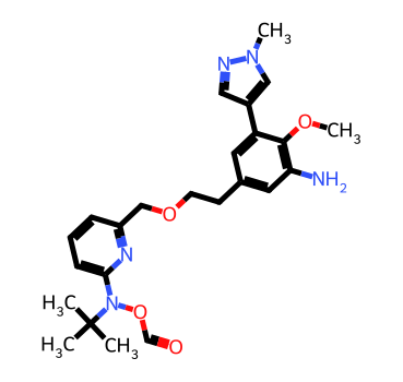 COc1c(N)cc(CCOCc2cccc(N(OC=O)C(C)(C)C)n2)cc1-c1cnn(C)c1